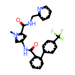 Cn1cc(NC(=O)c2ccccc2-c2ccc(C(F)(F)F)cc2)cc1C(=O)NCc1ccccn1